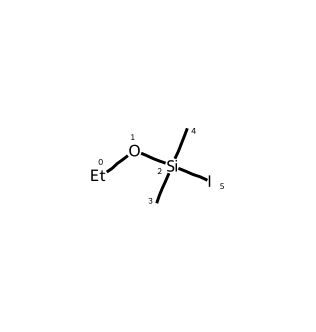 CCO[Si](C)(C)I